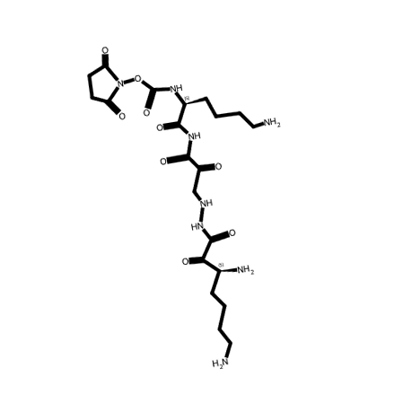 NCCCC[C@H](NC(=O)ON1C(=O)CCC1=O)C(=O)NC(=O)C(=O)CNNC(=O)C(=O)[C@@H](N)CCCCN